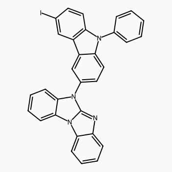 Ic1ccc2c(c1)c1cc(-n3c4ccccc4n4c5ccccc5nc34)ccc1n2-c1ccccc1